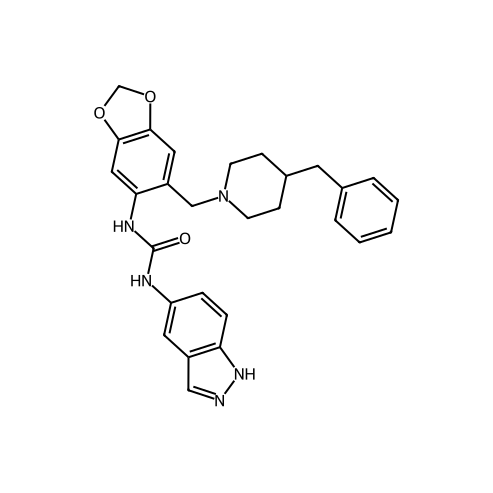 O=C(Nc1ccc2[nH]ncc2c1)Nc1cc2c(cc1CN1CCC(Cc3ccccc3)CC1)OCO2